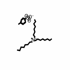 CCCCCCCC[N+](C)(CCCCCCCC)CCCCCCCC.Cc1ccc(S(=O)(=O)[O-])cc1